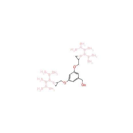 BB(B)B(B)B(B(B)B)B1CC1COc1cc(CO)cc(OCC2CB2B(B(B)B)B(B)B(B)B)c1